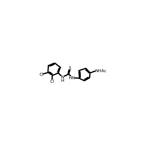 CC(=O)Nc1ccc(NC(=S)Nc2cccc(Cl)c2Cl)cc1